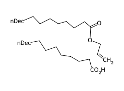 C=CCOC(=O)CCCCCCCCCCCCCCCCC.CCCCCCCCCCCCCCCCCC(=O)O